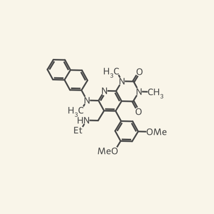 CCNCc1c(N(C)c2ccc3ccccc3c2)nc2c(c1-c1cc(OC)cc(OC)c1)c(=O)n(C)c(=O)n2C